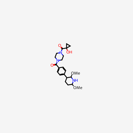 COC1CCC(c2ccc(C(=O)N3CCN(C(=O)C4(O)CC4)CC3)cc2)C(OC)N1